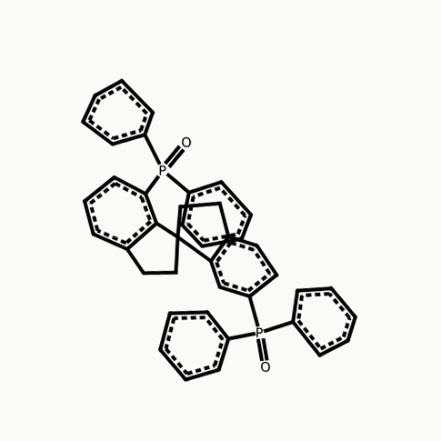 O=P(c1ccccc1)(c1ccccc1)c1ccc2c(c1)C1(CC2)CCc2cccc(P(=O)(c3ccccc3)c3ccccc3)c21